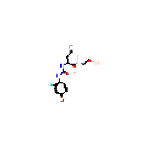 CCCC(NC(=O)Nc1ccc(Br)cc1F)C(=O)NCCO